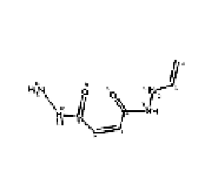 C=CNNC(=O)/C=C\C(=O)NN